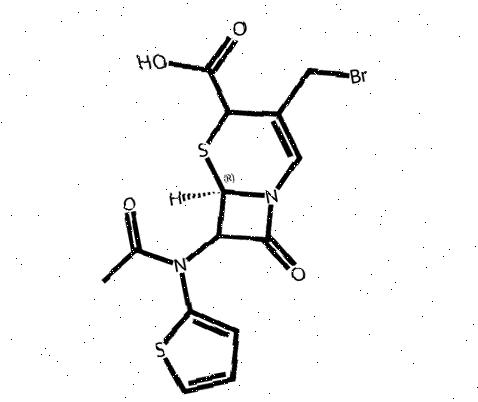 CC(=O)N(c1cccs1)C1C(=O)N2C=C(CBr)C(C(=O)O)S[C@H]12